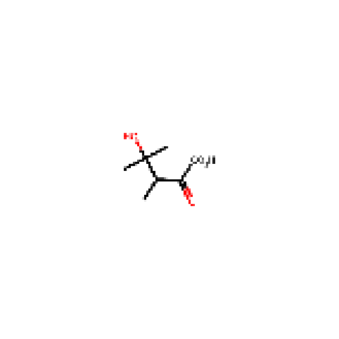 CC(C(=O)C(=O)O)C(C)(C)O